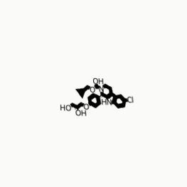 OC[C@@H](O)COc1ccc([C@H]2c3[nH]c4ccc(Cl)cc4c3CCN2C(O)OCC2CC2)cc1